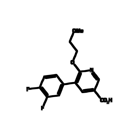 COCCOc1ncc(C(=O)O)cc1-c1ccc(F)c(F)c1